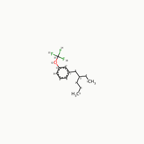 CCCC(CC)Cc1cccc(OC(F)(F)F)c1